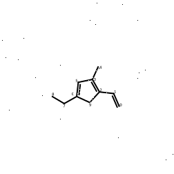 C=CC1=C(C)C=C(CC)C1